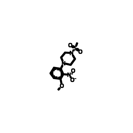 COc1cccc(N2CCN(S(C)(=O)=O)CC2)c1[N+](=O)[O-]